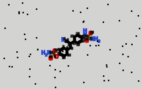 N#C/C(=C\c1ccc(OS(N)(=O)=O)cc1)c1ccc(NS(N)(=O)=O)cc1